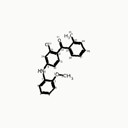 COc1ccccc1Nc1ccc(C(=O)c2ccccc2C)c(Cl)c1